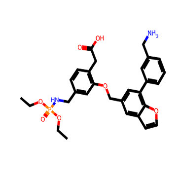 CCOP(=O)(NCc1ccc(CC(=O)O)c(OCc2cc(-c3cccc(CN)c3)c3occc3c2)c1)OCC